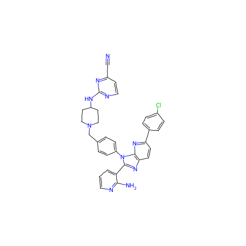 N#Cc1ccnc(NC2CCN(Cc3ccc(-n4c(-c5cccnc5N)nc5ccc(-c6ccc(Cl)cc6)nc54)cc3)CC2)n1